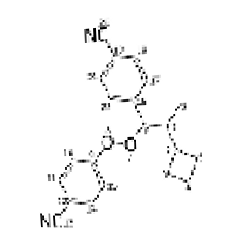 CC(C1CCC1)C(OOc1ccc(C#N)cc1)c1ccc(C#N)cc1